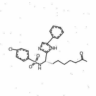 CC(=O)CCCCC[C@H](NS(=O)(=O)c1ccc(Cl)cc1)c1ncc(-c2ccccc2)[nH]1